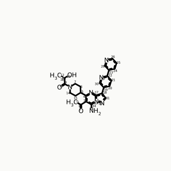 CC(=O)c1c(C2CCN(C(=O)[C@@H](C)O)CC2)nc2c(-c3ccc(-c4cccnc4)nc3)cnn2c1N